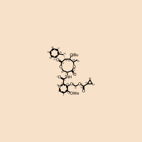 COc1ccnc(C(=O)N[C@H]2COC(=O)[C@H](Cc3ccccc3)[C@@H](OCC(C)C)C(C)OC2=O)c1OCOC(=O)C1CC1